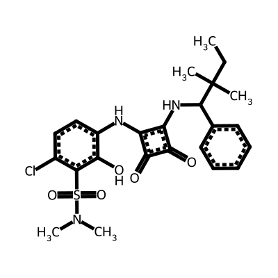 CCC(C)(C)C(Nc1c(Nc2ccc(Cl)c(S(=O)(=O)N(C)C)c2O)c(=O)c1=O)c1ccccc1